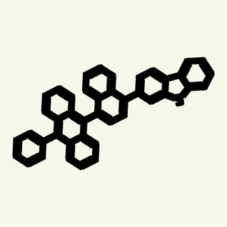 c1ccc(-c2c3ccccc3c(-c3ccc(-c4ccc5c(c4)sc4ccccc45)c4ccccc34)c3ccccc23)cc1